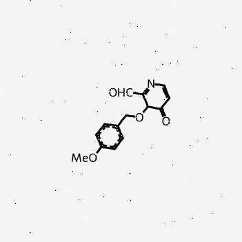 COc1ccc(COC2C(=O)C=CN=C2C=O)cc1